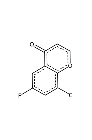 O=c1ccoc2c(Cl)cc(F)cc12